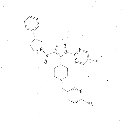 Nc1ccc(CN2CCC(c3c(C(=O)N4CC[C@H](c5ccccc5)C4)cnn3-c3ncc(F)cn3)CC2)cn1